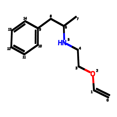 C=COCCNC(C)Cc1ccccc1